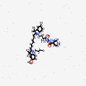 CCCCN1C(=CC=CC=CC=CC2N(CCCC(=O)NNC(=O)c3ccncc3)c3ccc(C)cc3C2(C)C)C(C)(C)c2cc(OC)ccc21